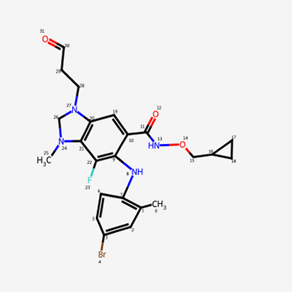 Cc1cc(Br)ccc1Nc1c(C(=O)NOCC2CC2)cc2c(c1F)N(C)CN2CCC=O